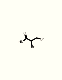 [NH]C(=O)C(Br)CBr